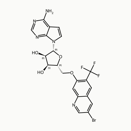 Nc1ncnc2c1ccn2[C@@H]1O[C@H](COc2cc3ncc(Br)cc3cc2C(F)(F)F)[C@@H](O)[C@H]1O